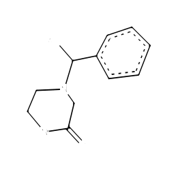 CC(=O)C(c1ccccc1)N1CCNC(=O)C1